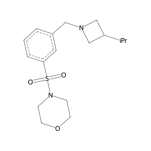 CC(C)C1CN(Cc2cccc(S(=O)(=O)N3CCOCC3)c2)C1